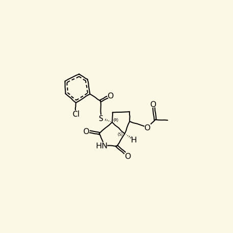 CC(=O)OC1CC[C@]2(SC(=O)c3ccccc3Cl)C(=O)NC(=O)[C@H]12